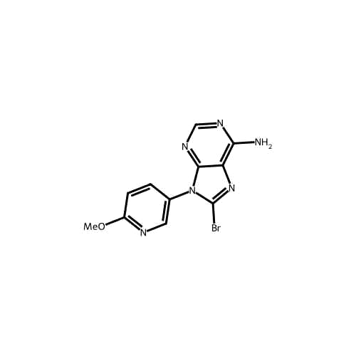 COc1ccc(-n2c(Br)nc3c(N)ncnc32)cn1